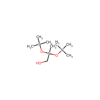 C[Si](C)(C)O[Si](C)(CO)O[Si](C)(C)C